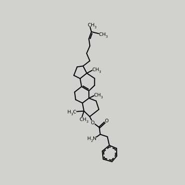 CC(C)=CCCCC1CCC2C3=C(CCC12C)C1(C)CCC(OC(=O)C(N)Cc2ccccc2)C(C)(C)C1CC3